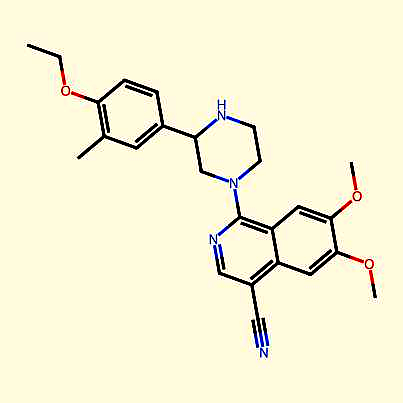 CCOc1ccc(C2CN(c3ncc(C#N)c4cc(OC)c(OC)cc34)CCN2)cc1C